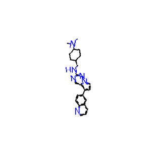 CN(C)C1CCC(CNc2ncc3c(-c4ccc5ncccc5c4)ccn3n2)CC1